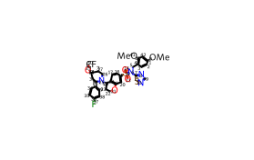 COc1ccc(CN(c2ncns2)S(=O)(=O)c2ccc3c(c2)OCC[C@@H]3N2CC[C@@H](OC(F)(F)F)C[C@H]2c2ccc(F)cc2)c(OC)c1